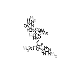 CSC(OPCC[C@H]1[C@H](F)[C@H](n2cnc3c(N)ncnc32)O[C@@H]1COP)[C@@H](O)[C@@H](OO)n1cnc2c(=O)[nH]c(N)nc21